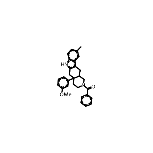 COc1cccc(C23CCN(C(=O)c4ccccc4)CC2Cc2c([nH]c4ccc(C)cc24)C3)c1